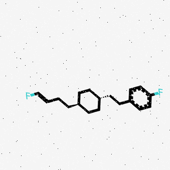 FC=CCC[C@H]1CC[C@H](CCc2ccc(F)cc2)CC1